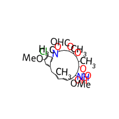 COc1cc2cc(c1Cl)N(C)C(=O)CC(OC=O)C1(C)OC1C(C)C1CC(O)(NC(=O)O1)C(OC)/C=C/C=C(\C)C2